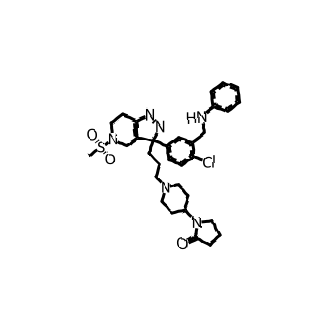 CS(=O)(=O)N1CCC2=C(C1)C(CCCN1CCC(N3CCCC3=O)CC1)(c1ccc(Cl)c(CNc3ccccc3)c1)N=N2